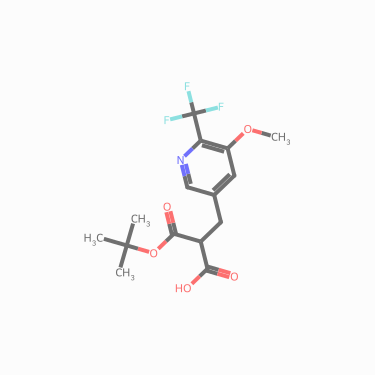 COc1cc(CC(C(=O)O)C(=O)OC(C)(C)C)cnc1C(F)(F)F